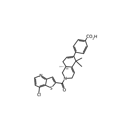 CC1(C)C(c2ccc(C(=O)O)cc2)=CC[C@]2(C)CN(C(=O)c3cc4nccc(Cl)c4s3)CC=C12